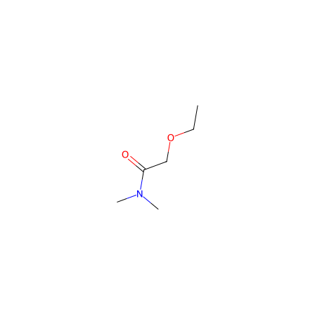 CCOCC(=O)N(C)C